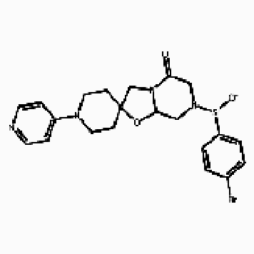 O=C1CN([S+]([O-])c2ccc(Br)cc2)CC2OC3(CCN(c4ccncc4)CC3)CN12